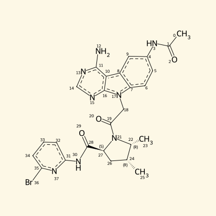 CC(=O)Nc1ccc2c(c1)c1c(N)ncnc1n2CC(=O)N1[C@H](C)[C@H](C)C[C@H]1C(=O)Nc1cccc(Br)n1